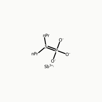 CCCS(CCC)=P([O-])([O-])[O-].[Sb+3]